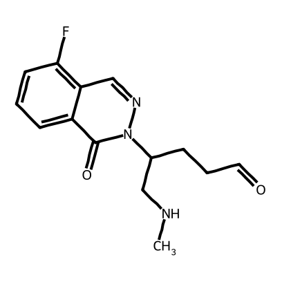 CNCC(CCC=O)n1ncc2c(F)cccc2c1=O